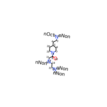 CCCCCCCCCN(CCCCCCCC)CCC1CCN(C(=O)CN(CCCCCCCCC)CCN(CCCCCCCCC)CCCCCCCCC)CC1